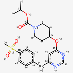 CC(C)OC(=O)N1CCC(Oc2cc([AsH]c3ccc(S(C)(=O)=O)cc3)ncn2)CC1